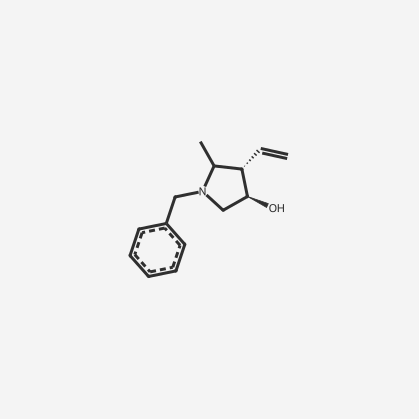 C=C[C@H]1C(C)N(Cc2ccccc2)C[C@@H]1O